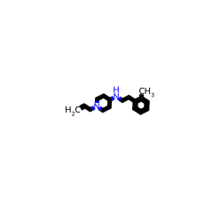 C=CCN1CCC(NCCc2ccccc2C)CC1